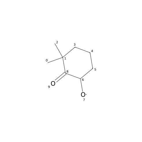 CC1(C)CCCC([O])C1=O